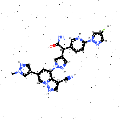 Cn1cc(-c2cc(-n3cc(C(C(N)=O)c4ccc(-n5cc(F)cn5)nc4)cn3)c3c(C#N)cnn3c2)cn1